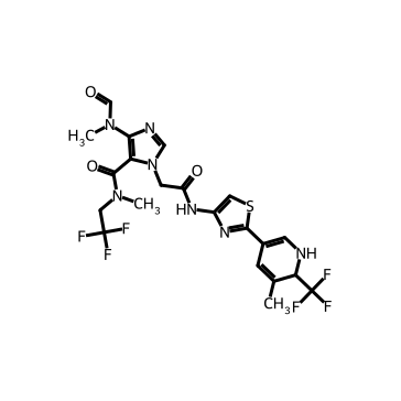 CC1=CC(c2nc(NC(=O)Cn3cnc(N(C)C=O)c3C(=O)N(C)CC(F)(F)F)cs2)=CNC1C(F)(F)F